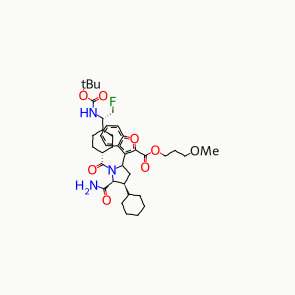 COCCCOC(=O)c1oc2ccccc2c1C1C[C@@H](C2CCCCC2)[C@@H](C(N)=O)N1C(=O)[C@H]1CC[C@H]([C@@H](CF)NC(=O)OC(C)(C)C)CC1